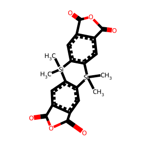 C[Si]1(C)c2cc3c(cc2[Si](C)(C)c2cc4c(cc21)C(=O)OC4=O)C(=O)OC3=O